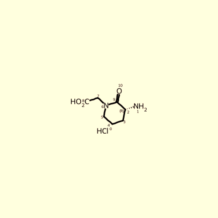 Cl.N[C@@H]1CCCN(CC(=O)O)C1=O